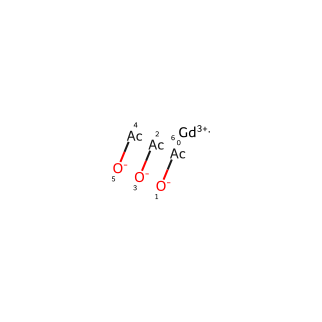 CC(=O)[O-].CC(=O)[O-].CC(=O)[O-].[Gd+3]